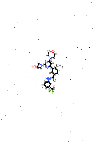 Cc1ccc(C(=O)Nc2cccc(C(F)(F)F)c2)cc1-c1cc(N2CCOCC2)nc(N2CC(O)C2)n1